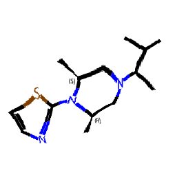 CC(C)C(C)N1C[C@@H](C)N(c2nccs2)[C@@H](C)C1